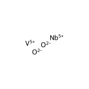 [Nb+5].[O-2].[O-2].[V+5]